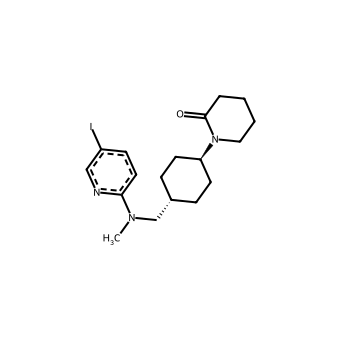 CN(C[C@H]1CC[C@H](N2CCCCC2=O)CC1)c1ccc(I)cn1